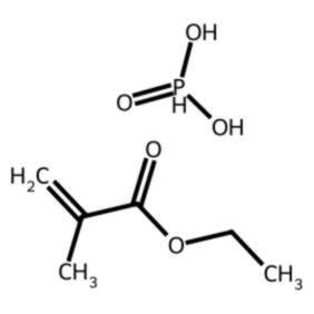 C=C(C)C(=O)OCC.O=[PH](O)O